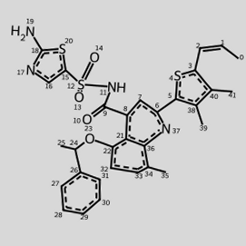 C/C=C\c1sc(-c2cc(C(=O)NS(=O)(=O)c3cnc(N)s3)c3c(OC(C)c4ccccc4)ccc(C)c3n2)c(C)c1C